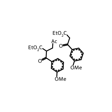 CCOC(=O)C(CC(C)=O)C(=O)c1cccc(OC)c1.CCOC(=O)CC(=O)c1cccc(OC)c1